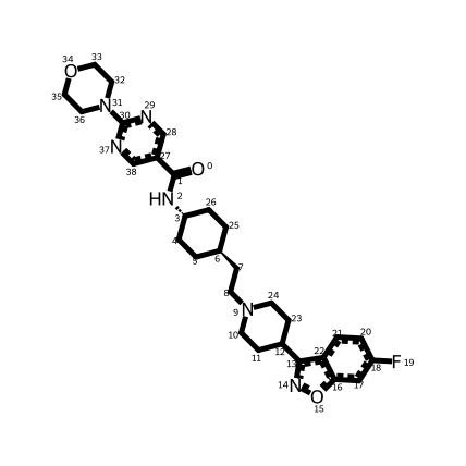 O=C(N[C@H]1CC[C@H](CCN2CCC(c3noc4cc(F)ccc34)CC2)CC1)c1cnc(N2CCOCC2)nc1